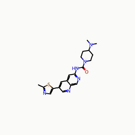 Cc1ncc(-c2cnc3cnc(NC(=O)N4CCC(N(C)C)CC4)cc3c2)s1